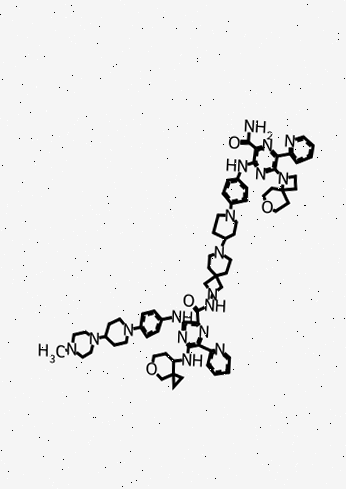 CN1CCN(C2CCN(c3ccc(Nc4nc(NC5CCOCC56CC6)c(-c5ccccn5)nc4C(=O)NN4CC5(CCN(C6CCN(c7ccc(Nc8nc(N9CCC9%10CCOCC%10)c(-c9ccccn9)nc8C(N)=O)cc7)CC6)CC5)C4)cc3)CC2)CC1